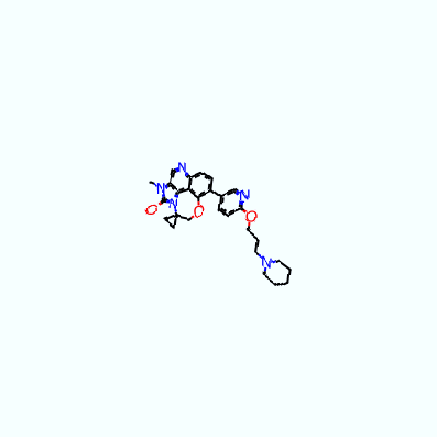 Cn1c(=O)n2c3c4c(c(-c5ccc(OCCCN6CCCCC6)nc5)ccc4ncc31)OCC21CC1